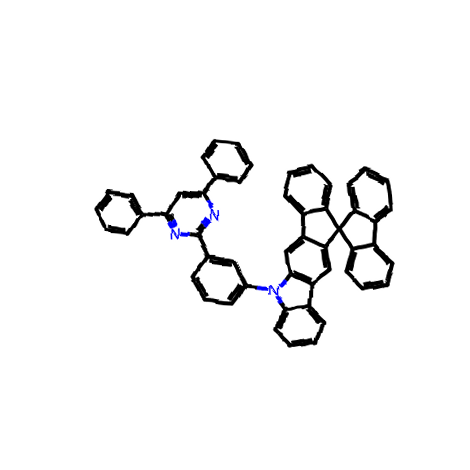 c1ccc(-c2cc(-c3ccccc3)nc(-c3cccc(-n4c5ccccc5c5cc6c(cc54)-c4ccccc4C64c5ccccc5-c5ccccc54)c3)n2)cc1